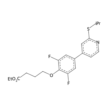 CCOC(=O)CCCOc1c(F)cc(-c2ccnc(SC(C)C)c2)cc1F